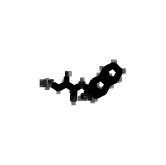 CCC(I)C(=O)OC1(C)CC2CC1C1C3CCC(C3)C21